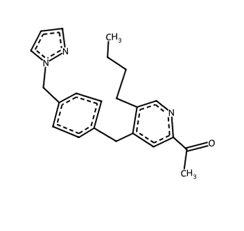 CCCCc1cnc(C(C)=O)cc1Cc1ccc(Cn2cccn2)cc1